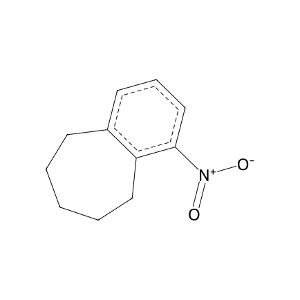 O=[N+]([O-])c1cccc2c1CCCCC2